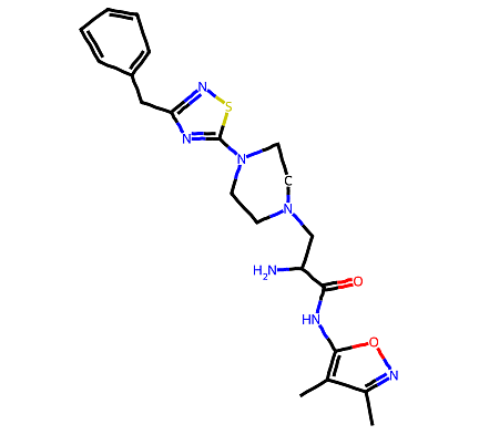 Cc1noc(NC(=O)C(N)CN2CCN(c3nc(Cc4ccccc4)ns3)CC2)c1C